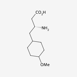 COC1CCC(C[C@@H](N)CC(=O)O)CC1